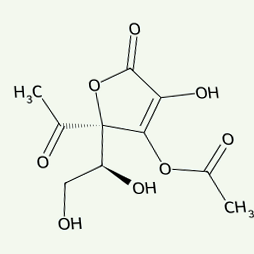 CC(=O)OC1=C(O)C(=O)O[C@]1(C(C)=O)[C@@H](O)CO